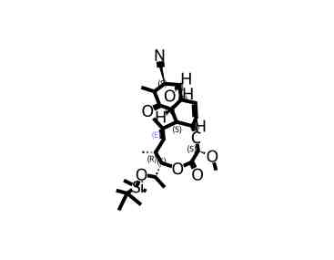 CO[C@H]1C[C@H]2C=C[C@H]3[C@H]4O[C@]2(/C(C)=C/[C@@H](C)[C@@H](C(C)O[Si](C)(C)C(C)(C)C)OC1=O)[C@@H]3C(=O)C(C)[C@H]4C#N